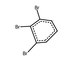 Brc1[c]ccc(Br)c1Br